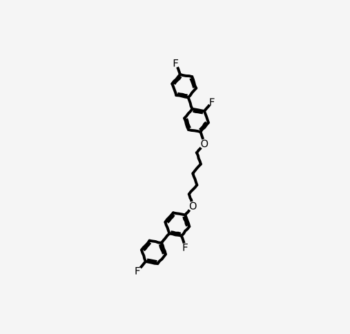 Fc1ccc(-c2ccc(OCCCCCOc3ccc(-c4ccc(F)cc4)c(F)c3)cc2F)cc1